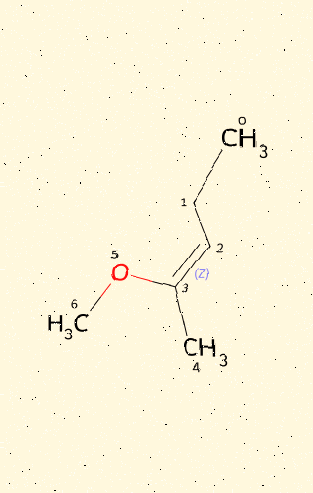 CC/C=C(/C)OC